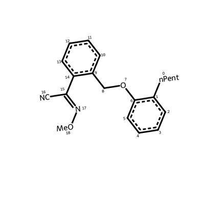 CCCCCc1ccccc1OCc1ccccc1C(C#N)=NOC